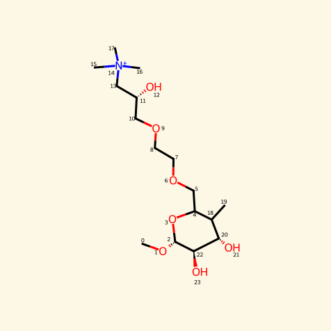 CO[C@@H]1OC(COCCOC[C@@H](O)C[N+](C)(C)C)C(C)[C@H](O)[C@H]1O